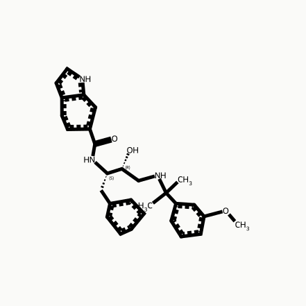 COc1cccc(C(C)(C)NC[C@@H](O)[C@H](Cc2ccccc2)NC(=O)c2ccc3cc[nH]c3c2)c1